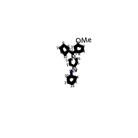 COc1cccc(C(c2ccccc2)N2CCC(/N=C/c3ccccc3)CC2)c1